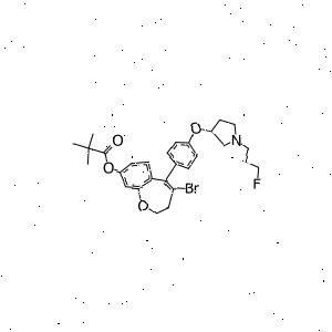 CC(C)(C)C(=O)Oc1ccc2c(c1)OCCC(Br)=C2c1ccc(OC2CCN(CCCF)C2)cc1